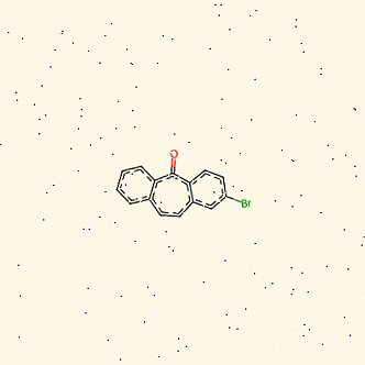 O=c1c2ccccc2ccc2cc(Br)ccc12